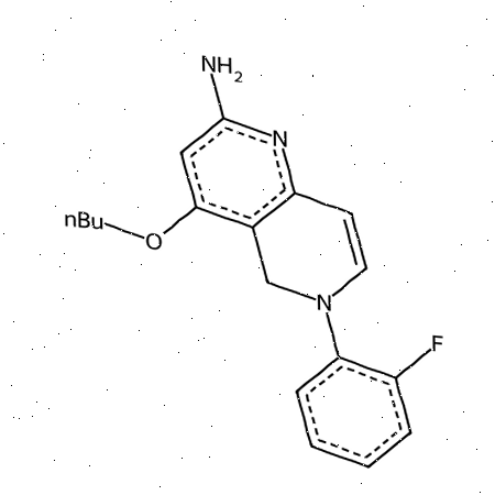 CCCCOc1cc(N)nc2c1CN(c1ccccc1F)C=C2